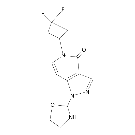 O=c1c2cnn(C3NCCO3)c2ccn1C1CC(F)(F)C1